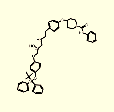 CC(C)(C)[Si](Oc1ccc(OC[C@@H](O)CNCCc2ccc(SC3CCN(C(=O)Nc4ccccc4)CC3)cc2)cc1)(c1ccccc1)c1ccccc1